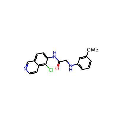 COc1cccc(NCC(=O)Nc2ccc3cnccc3c2Cl)c1